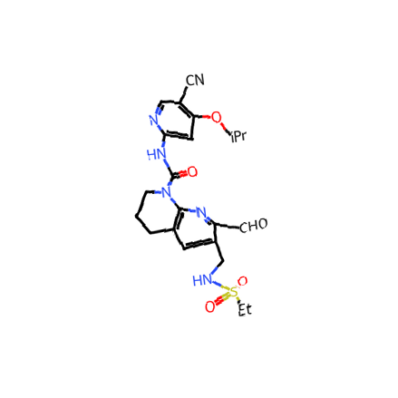 CCS(=O)(=O)NCc1cc2c(nc1C=O)N(C(=O)Nc1cc(OC(C)C)c(C#N)cn1)CCC2